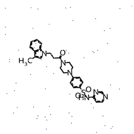 Cc1cn(CCC(=O)N2CCN(c3ccc(S(=O)(=O)Nc4ccncn4)cc3)CC2)c2ccccc12